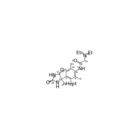 CCCCCCCC1(c2cc(C)c(NC(=O)CN(CC)CC)c(C)c2)NC(=O)NC1=O